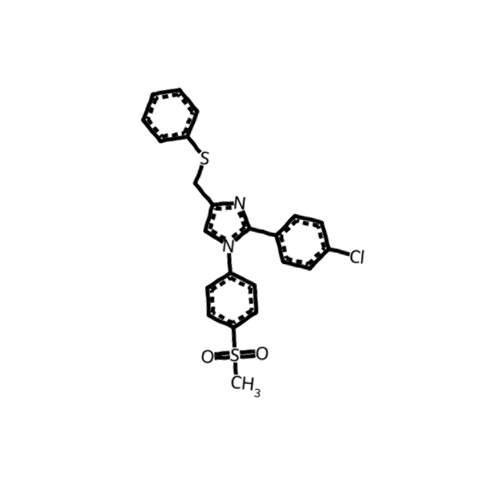 CS(=O)(=O)c1ccc(-n2cc(CSc3ccccc3)nc2-c2ccc(Cl)cc2)cc1